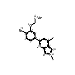 COCOc1cc(-c2cc(C)c3nn(C)cc3n2)ccc1Br